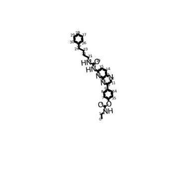 CCNC(=O)Oc1ccc(-c2cnc3ccc(NC(=O)NCCCCc4ccccc4)nc3n2)cc1